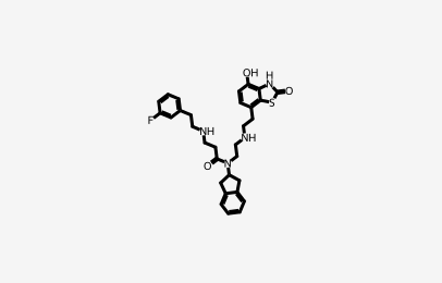 O=C(CCNCCc1cccc(F)c1)N(CCNCCc1ccc(O)c2[nH]c(=O)sc12)C1Cc2ccccc2C1